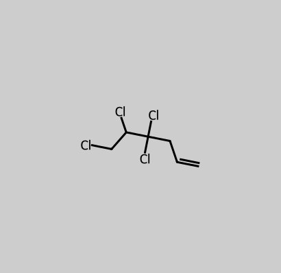 C=CCC(Cl)(Cl)C(Cl)CCl